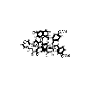 COc1ccc(CN(Cc2ccc(OC)cc2)S(=O)(=O)[C@H](C)[C@@H](C)C/C=C(\F)C(C(=O)N(C)CCN2CCOCC2)N2CCC[C@H]2N2C[C@@]3(CCCc4cc(Cl)ccc43)COc3ccc(C)cc32)cc1